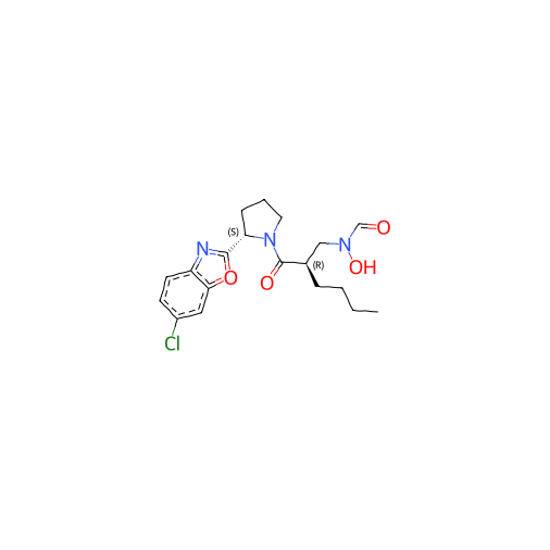 CCCC[C@H](CN(O)C=O)C(=O)N1CCC[C@H]1c1nc2ccc(Cl)cc2o1